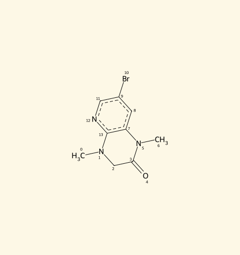 CN1CC(=O)N(C)c2cc(Br)cnc21